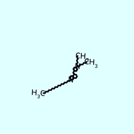 CCCCCCCCCCCCCCCCCCN1C=CC2=C(CCCC2=Cc2ccc(N(CCCCCC)CCCCCC)cc2)C1